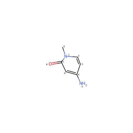 Cn1ccc(N)cc1=O